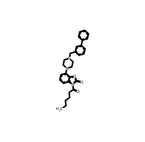 CCCCCC(=O)n1c(=O)oc2c(N3CCN(Cc4cccc(-c5ccccc5)c4)CC3)cccc21